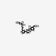 CC(C)(C)OC(=O)NCCCc1cc(-c2ccnc(Nc3cccc(CO)c3)n2)ccn1